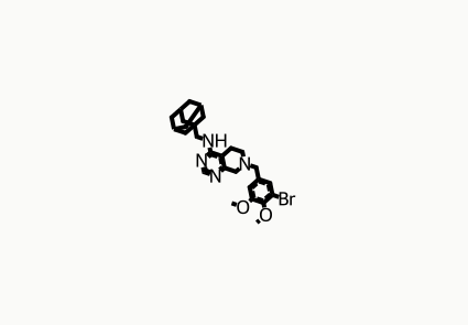 COc1cc(CN2CCc3c(ncnc3NCC34CC5CC(CC(C5)C3)C4)C2)cc(Br)c1OC